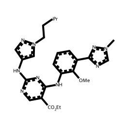 CCOC(=O)c1cnc(Nc2cnn(CCC(C)C)c2)nc1Nc1cccc(-c2ncn(C)n2)c1OC